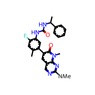 CNc1ncc2cc(-c3cc(NC(=O)NC(C)c4ccccc4)c(F)cc3C)c(=O)n(C)c2n1